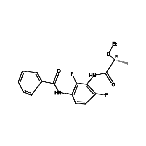 CCO[C@H](C)C(=O)Nc1c(F)ccc(NC(=O)c2ccccc2)c1F